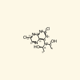 CC(O)N(c1nc(Cl)nc2nc(Cl)cnc12)C(C)O